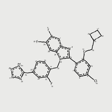 Fc1cc2nc(-c3ccc(Cl)cc3OCC3CCC3)n(Cc3ccc(-c4nnn[nH]4)cc3F)c2cc1F